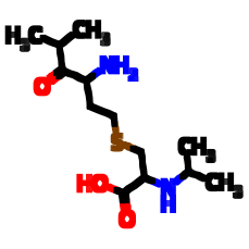 CC(C)NC(CSCCC(N)C(=O)C(C)C)C(=O)O